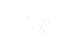 C=CCN1C[C@H](C)N([C@H](c2ccccc2)c2cccc(O)c2)C[C@H]1C